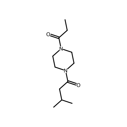 CCC(=O)N1CCN(C(=O)CC(C)C)CC1